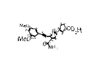 COc1cc(C#Cc2nn([C@H]3CCN(C(=O)O)C3)cc2C(N)=O)cc(OC)c1